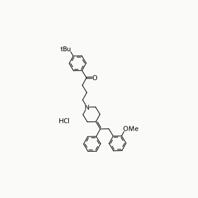 COc1ccccc1CC(=C1CCN(CCCC(=O)c2ccc(C(C)(C)C)cc2)CC1)c1ccccc1.Cl